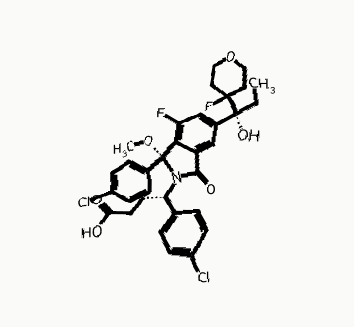 CC[C@@](O)(c1cc(F)c2c(c1)C(=O)N([C@@H](CCC(=O)O)c1ccc(Cl)cc1)[C@@]2(OC)c1ccc(Cl)cc1)C1(F)CCOCC1